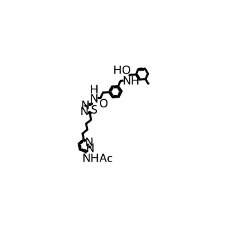 CC(=O)Nc1ccc(CCCCc2nnc(NC(=O)Cc3cccc(CNC(O)C4=CC(C)CC=C4)c3)s2)nn1